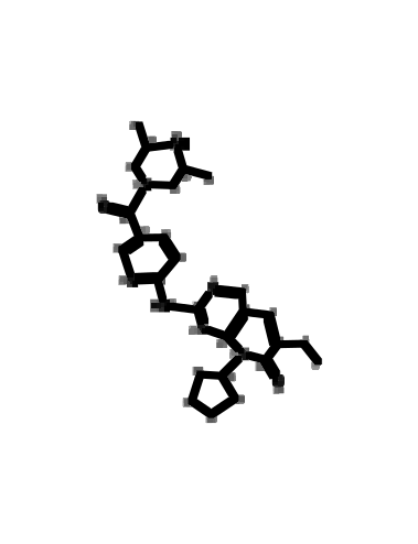 CCc1cc2cnc(Nc3ccc(C(=O)N4CC(C)NC(C)C4)cn3)nc2n(C2CCCC2)c1=O